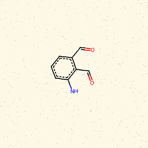 [NH]c1cccc(C=O)c1C=O